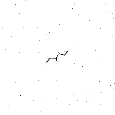 CCOC(O)CI